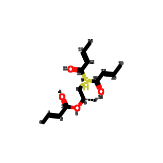 CC=CC(=O)O[C@@H](C)C[SH](C(=O)C=CC)C(=O)C=CC